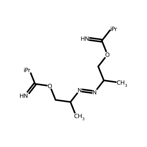 CC(COC(=N)C(C)C)N=NC(C)COC(=N)C(C)C